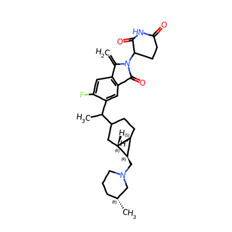 C=C1c2cc(F)c(C(C)C3CC[C@H]4[C@@H](C3)[C@@H]4CN3CCC[C@@H](C)C3)cc2C(=O)N1C1CCC(=O)NC1=O